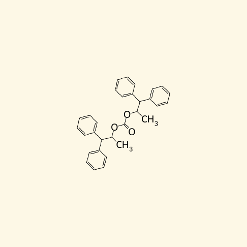 CC(OC(=O)OC(C)C(c1ccccc1)c1ccccc1)C(c1ccccc1)c1ccccc1